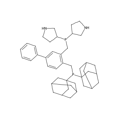 c1ccc(-c2ccc(CP(C34CC5CC(CC(C5)C3)C4)C34CC5CC(CC(C5)C3)C4)c(CP(C3CCNC3)C3CCNC3)c2)cc1